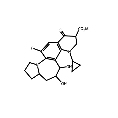 CCOC(=O)C1CN(C2CC2)c2c(cc(F)c3c2C(O)C(O)CC2CCCN32)C1=O